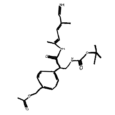 CC(=O)OCc1ccc(C(CNC(=O)OC(C)(C)C)C(=O)N/C(C)=C/C=C(\C)C=N)cc1